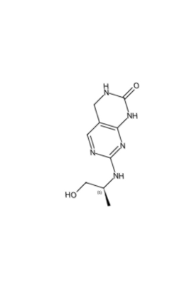 C[C@@H](CO)Nc1ncc2c(n1)NC(=O)NC2